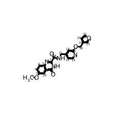 COc1ccc2nc(C(=O)NCc3ccnc(OCc4ccoc4)c3)[nH]c(=O)c2c1